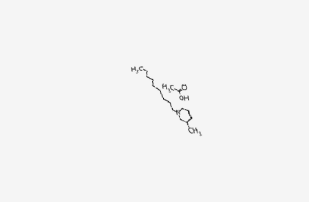 CC(=O)O.CCCCCCCCCN1CCCC(C)C1